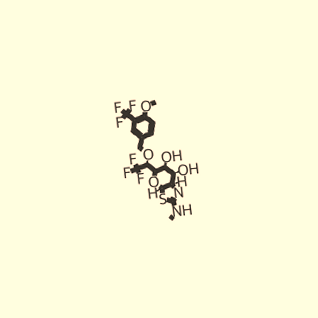 CNC1=N[C@@H]2[C@@H](O)[C@H](O)C([C@@H](OCc3ccc(OC)c(C(F)(F)F)c3)C(F)(F)F)O[C@@H]2S1